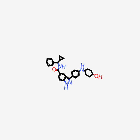 O=C(NC(c1ccccc1)C1CC1)c1ccc2[nH]nc(-c3ccc(N[C@H]4CC[C@H](O)CC4)cc3)c2c1